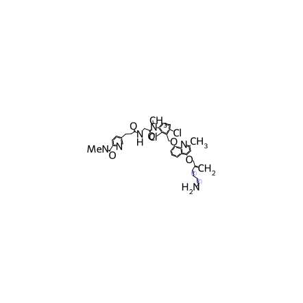 C=C(/C=C\C=C/N)COc1cc(C)nc2c(OCc3c(Cl)ccc(N(C)C(=O)CNC(=O)CCc4ccc(C(=O)NC)nc4)c3Cl)cccc12